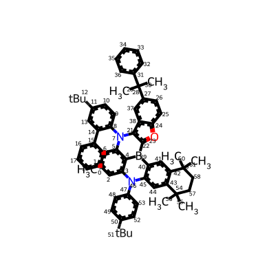 Cc1cc2c3c(c1)N(c1ccc(C(C)(C)C)cc1-c1ccccc1)c1c(oc4ccc(C(C)(C)c5ccccc5)cc14)B3c1cc3c(cc1N2c1ccc(C(C)(C)C)cc1)C(C)(C)CCC3(C)C